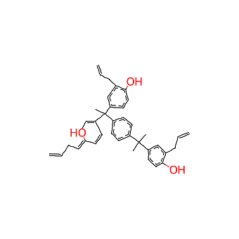 C=CC/C=C(O)/C=C\C(=C/C)C(C)(c1ccc(C(C)(C)c2ccc(O)c(CC=C)c2)cc1)c1ccc(O)c(CC=C)c1